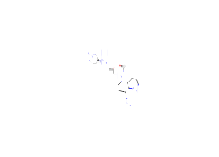 C[C@@H]1CN(c2ccc(C#N)c3ncccc23)C[C@H](C(=O)N[C@H]2CCNC2)O1